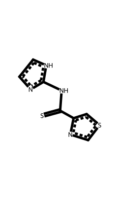 S=C(Nc1ncc[nH]1)c1cscn1